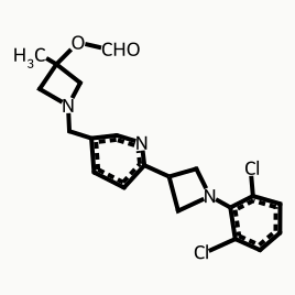 CC1(OC=O)CN(Cc2ccc(C3CN(c4c(Cl)cccc4Cl)C3)nc2)C1